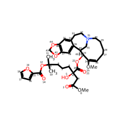 COC(=O)C[C@](O)(CCCC(C)(C)OC(=O)c1ccco1)C(=O)O[C@@H]1/C(OC)=C\CCCCN2CCc3cc4c(cc3[C@H]1C2)OCO4